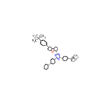 CC(C)(C)c1ccc(-c2ccc3oc4c(-c5nc(-c6ccc(-c7ccccc7)cc6)nc(-c6ccc(C7C8CC9CC(C8)CC7C9)cc6)n5)cccc4c3c2)cc1